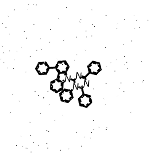 c1ccc(C2=NC(n3c4ccccc4c4c(-c5ccccc5)cccc43)N(c3ccccc3)C(c3ccccc3)=N2)cc1